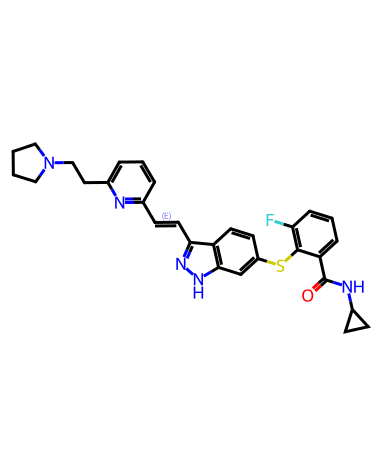 O=C(NC1CC1)c1cccc(F)c1Sc1ccc2c(/C=C/c3cccc(CCN4CCCC4)n3)n[nH]c2c1